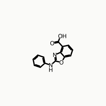 O=C(O)c1cccc2oc(Nc3ccccc3)nc12